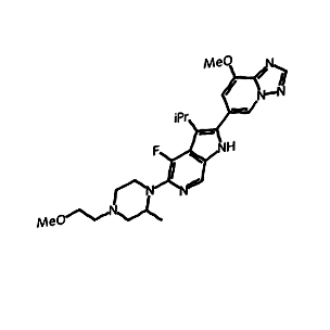 COCCN1CCN(c2ncc3[nH]c(-c4cc(OC)c5ncnn5c4)c(C(C)C)c3c2F)C(C)C1